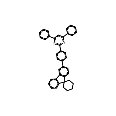 c1ccc(-c2cc(-c3ccccc3)nc(-c3ccc(-c4ccc5c(c4)-c4ccccc4C54CCCCC4)cc3)n2)cc1